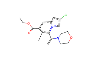 C=C(c1c(C)c(C(=O)OCC)cc2cc(Cl)cn12)N1CCOCC1